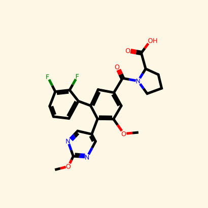 COc1ncc(-c2c(OC)cc(C(=O)N3CCCC3C(=O)O)cc2-c2cccc(F)c2F)cn1